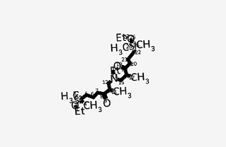 CCO[Si](C)(C)CCCC(=O)C(C)CN(CC)CC(C)C(=O)CCC[Si](C)(C)OCC